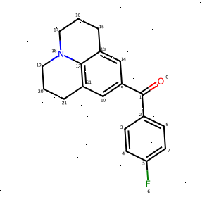 O=C(c1ccc(F)cc1)c1cc2c3c(c1)CCCN3CCC2